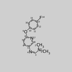 CN(C)/C=N\c1ccc(Oc2ccc(F)cc2)nc1